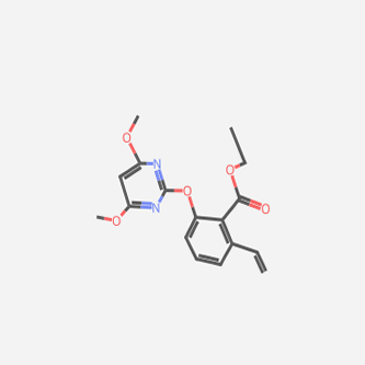 C=Cc1cccc(Oc2nc(OC)cc(OC)n2)c1C(=O)OCC